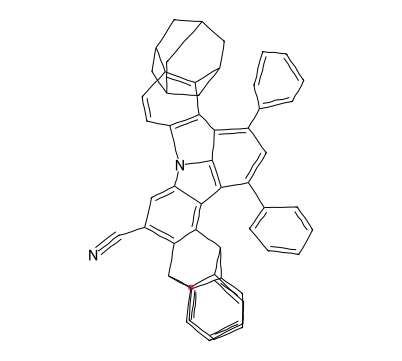 N#Cc1cc2c(c3c1C1c4ccccc4C3c3ccccc31)c1c(-c3ccccc3)cc(-c3ccccc3)c3c4c5c(ccc4n2c31)C1CC2CC(C1)CC5C2